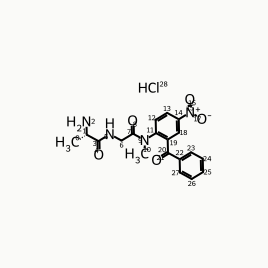 C[C@H](N)C(=O)NCC(=O)N(C)c1ccc([N+](=O)[O-])cc1C(=O)c1ccccc1.Cl